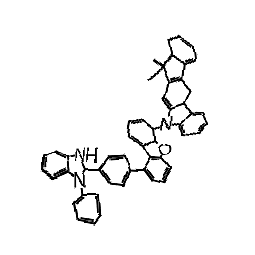 CC1(C)C2=C(CC3C(=C2)N(C2C=CC=C4c5c(cccc5-c5ccc(C6Nc7ccccc7N6c6ccccc6)cc5)OC42)c2ccccc23)C2=CC=CCC21